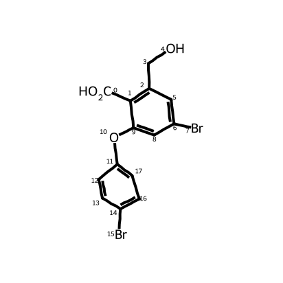 O=C(O)c1c(CO)cc(Br)cc1Oc1ccc(Br)cc1